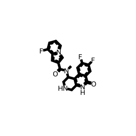 CN(C(=O)c1cc2c(F)cccn2c1)C1CNCc2[nH]c(=O)c3cc(F)c(F)cc3c21